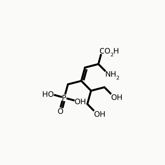 NC(C=C(CP(=O)(O)O)C(CO)CO)C(=O)O